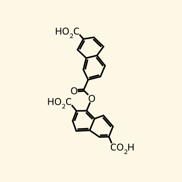 O=C(O)c1ccc2ccc(C(=O)Oc3c(C(=O)O)ccc4cc(C(=O)O)ccc34)cc2c1